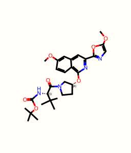 COc1ccc2c(O[C@@H]3CCN(C(=O)[C@@H](NC(=O)OC(C)(C)C)C(C)(C)C)C3)nc(-c3ncc(OC)o3)cc2c1